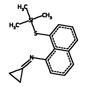 C[Si](C)(C)Sc1cccc2cccc(N=C3CC3)c12